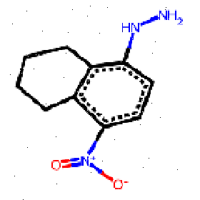 NNc1ccc([N+](=O)[O-])c2c1CCCC2